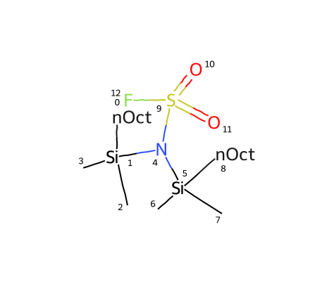 CCCCCCCC[Si](C)(C)N([Si](C)(C)CCCCCCCC)S(=O)(=O)F